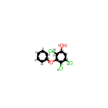 Oc1cc(Cl)c(Cl)c(Oc2ccccc2)c1Cl